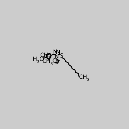 CCCCCCCCCCCCSc1nnc(-c2ccc(C(C)(C)C)cc2)n1-c1ccco1